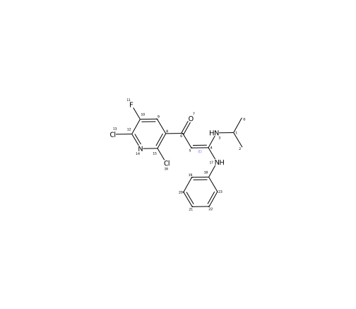 CC(C)N/C(=C\C(=O)c1cc(F)c(Cl)nc1Cl)Nc1ccccc1